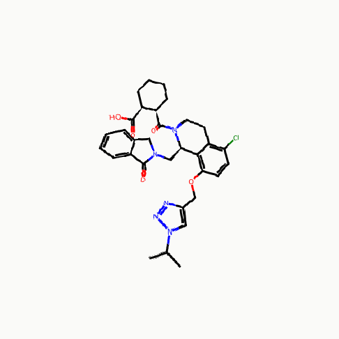 CC(C)n1cc(COc2ccc(Cl)c3c2[C@@H](CN2Cc4ccccc4C2=O)N(C(=O)[C@@H]2CCCC[C@@H]2C(=O)O)CC3)nn1